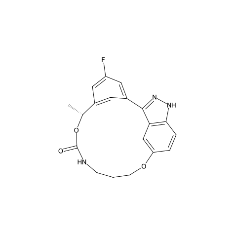 C[C@H]1OC(=O)NCCCOc2ccc3[nH]nc(c3c2)-c2cc(F)cc1c2